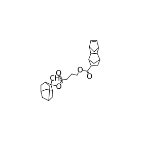 CC1(OC(=O)CCCOC(=O)C2CC3CC2C2C4C=CC(C4)C32)C2CC3CC(C2)CC1C3